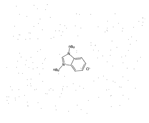 CCCCn1c[n+](CCCC)c2ccccc21.[Cl-]